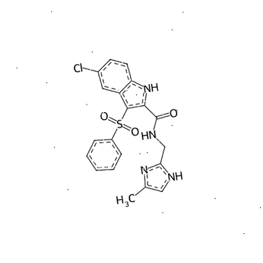 Cc1c[nH]c(CNC(=O)c2[nH]c3ccc(Cl)cc3c2S(=O)(=O)c2ccccc2)n1